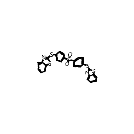 O=S(=O)(c1ccc(Sc2nc3ccccc3s2)cc1)c1ccc(Sc2nc3ccccc3s2)cc1